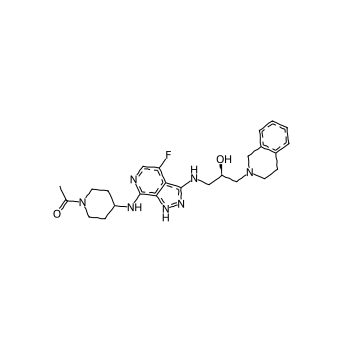 CC(=O)N1CCC(Nc2ncc(F)c3c(NC[C@@H](O)CN4CCc5ccccc5C4)n[nH]c23)CC1